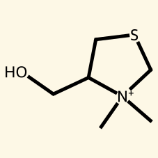 C[N+]1(C)CSCC1CO